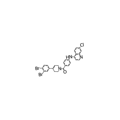 O=C(c1ccc(Nc2ccnc3cc(Cl)ccc23)cc1)N1CC=C(c2ccc(Br)c(Br)c2)CC1